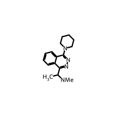 CNC(C)c1nnc(N2CCCCC2)c2ccccc12